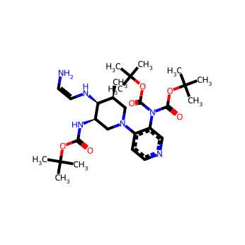 C[C@H]1CN(c2ccncc2N(C(=O)OC(C)(C)C)C(=O)OC(C)(C)C)C[C@@H](NC(=O)OC(C)(C)C)[C@H]1N/C=C\N